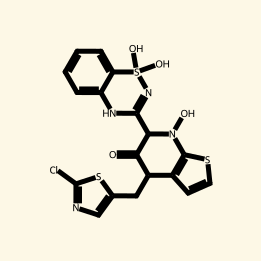 O=C1C(Cc2cnc(Cl)s2)c2ccsc2N(O)C1C1=NS(O)(O)c2ccccc2N1